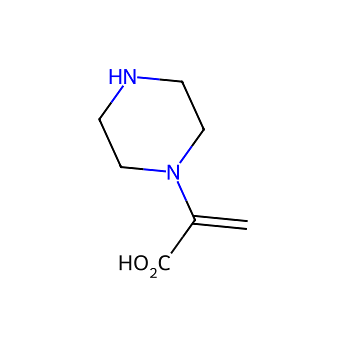 C=C(C(=O)O)N1CCNCC1